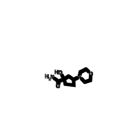 NC(=O)C1(O)CCC(N2CCOCC2)C1